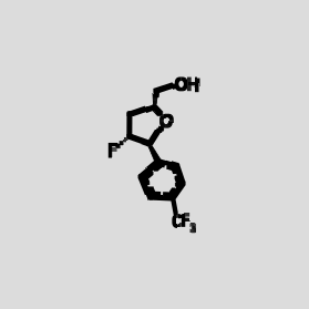 OC[C@@H]1C[C@@H](F)[C@H](c2ccc(C(F)(F)F)cc2)O1